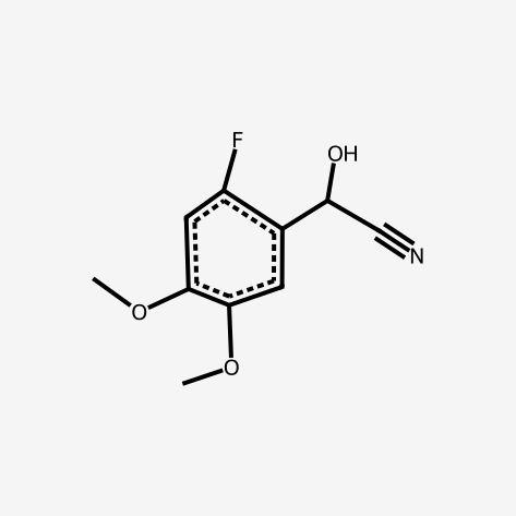 COc1cc(F)c(C(O)C#N)cc1OC